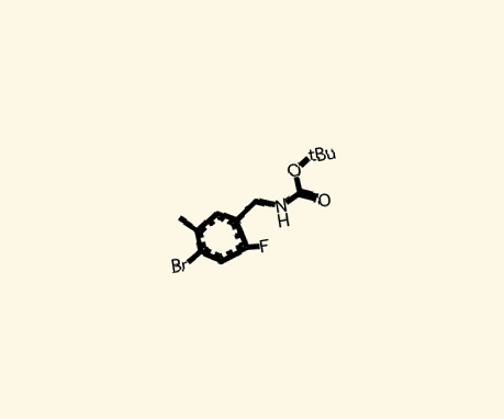 Cc1cc(CNC(=O)OC(C)(C)C)c(F)cc1Br